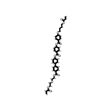 C=CC(=O)OCCCCOc1ccc(C(=O)Oc2ccc(C(=O)Oc3ccc(-c4ccc(C(=O)OCCOCCOC(=O)C=C)cc4)cc3)cc2)cc1